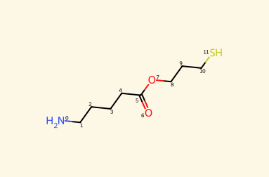 NCCCCC(=O)OCCCS